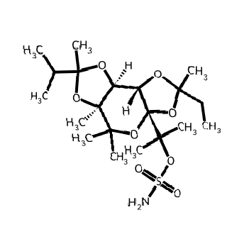 CCC1(C)O[C@H]2[C@@H]3OC(C)(C(C)C)O[C@]3(C)C(C)(C)O[C@@]2(C(C)(C)OS(N)(=O)=O)O1